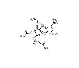 CC(=O)N[C@@H](CCC(N)=O)C(=O)N[C@@H](CCCN)C(=O)N[C@@H](CCC(N)=O)C(=O)N[C@@H](CCC(N)=O)C(C)=O